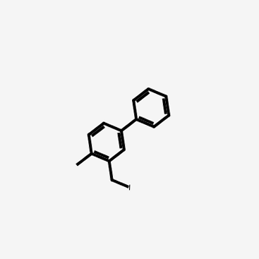 Cc1ccc(-c2ccccc2)cc1CI